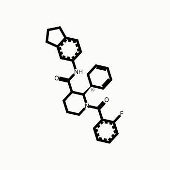 O=C(Nc1ccc2c(c1)CCC2)C1CCCN(C(=O)c2ccccc2F)C1[C@@H]1C=CC=CC1